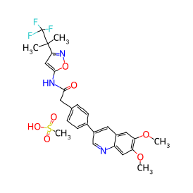 COc1cc2cc(-c3ccc(CC(=O)Nc4cc(C(C)(C)C(F)(F)F)no4)cc3)cnc2cc1OC.CS(=O)(=O)O